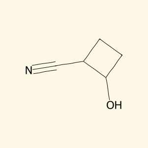 N#CC1CCC1O